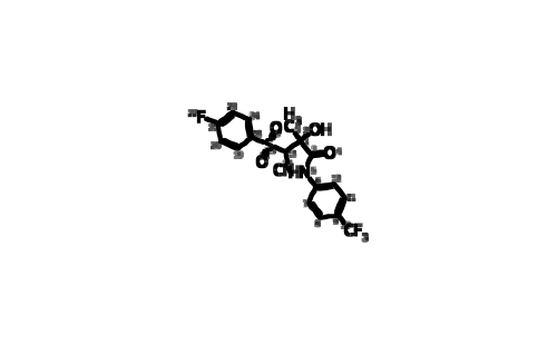 CC(O)(C(=O)Nc1ccc(C(F)(F)F)cc1)C(C#N)S(=O)(=O)c1ccc(F)cc1